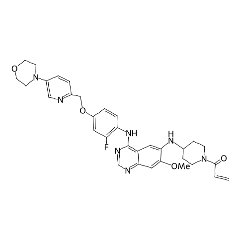 C=CC(=O)N1CCC(Nc2cc3c(Nc4ccc(OCc5ccc(N6CCOCC6)cn5)cc4F)ncnc3cc2OC)CC1